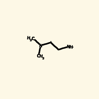 CN(C)[CH]C[NH]